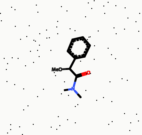 COC(C(=O)N(C)C)c1ccccc1